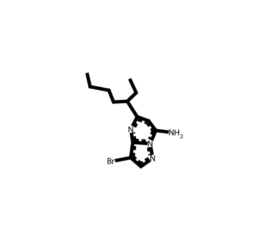 CCCCC(CC)c1cc(N)n2ncc(Br)c2n1